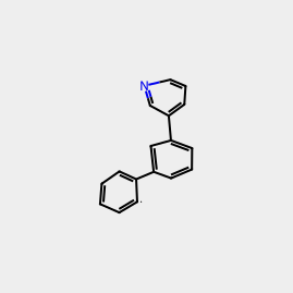 [c]1ccccc1-c1cccc(-c2cccnc2)c1